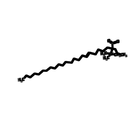 CCCCCCCCCCCCCCCCC=CCCCCC(CCC)(P(=O)=O)[N+](C)(C)C